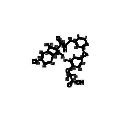 Cc1cc(Oc2cccc(CNC(=O)c3c(C)c4cc(Cl)ccc4n3C)c2)ccc1OC(C)(C)C(=O)O